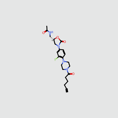 C#CCCCC(=O)N1CCN(c2ccc(N3C[C@H](CNC(C)=O)OC3=O)cc2F)CC1